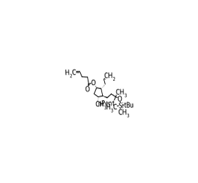 C=CCCC(=O)O[C@H]1C[C@@H](C)[C@H](CCC(C)(CCCCC)O[Si](C)(C)C(C)(C)C)[C@H]1CC=C